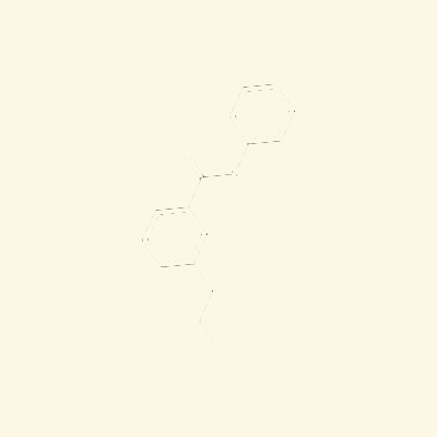 O=C(Nc1ccccc1)c1cccc(CCO)c1